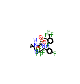 N#CC1(NC(=O)[C@H](CS(=O)(=O)Cc2ccccc2C(F)(F)F)NC(c2ccc(F)cc2F)C(F)(F)C(F)(F)F)CC1